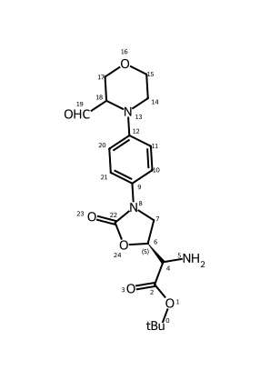 CC(C)(C)OC(=O)C(N)[C@@H]1CN(c2ccc(N3CCOCC3C=O)cc2)C(=O)O1